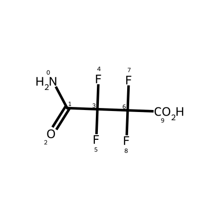 NC(=O)C(F)(F)C(F)(F)C(=O)O